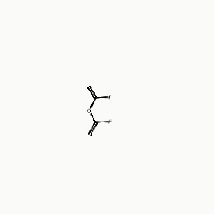 C=C(F)OC(=C)F